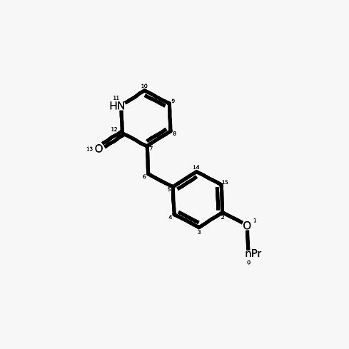 CCCOc1ccc(Cc2ccc[nH]c2=O)cc1